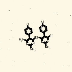 CCc1nc(N)nc(N)c1-c1ccc(Cl)cc1.CCc1nc(N)nc(N)c1-c1ccc(Cl)cc1